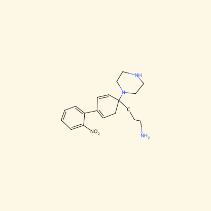 NCCCC1(N2CCNCC2)C=CC(c2ccccc2[N+](=O)[O-])=CC1